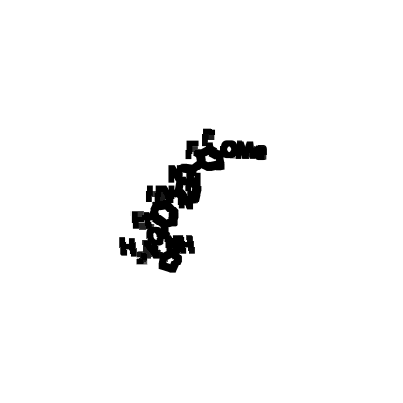 CCc1cc(Nc2nccn3c(-c4ccc(OC)c(F)c4F)cnc23)ccc1C(=O)N[C@H]1CCC[C@H]1N